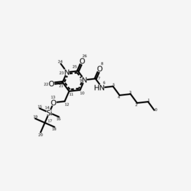 CCCCCCNC(=O)n1cc(CO[Si](C)(C)C(C)(C)C)c(=O)n(C)c1=O